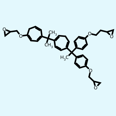 CC(C)(C1=CC=C(OCC2CO2)CC=C1)C1=CCC=C(C(C)(c2ccc(OCCC3CO3)cc2)c2ccc(OCC3CO3)cc2)C=C1